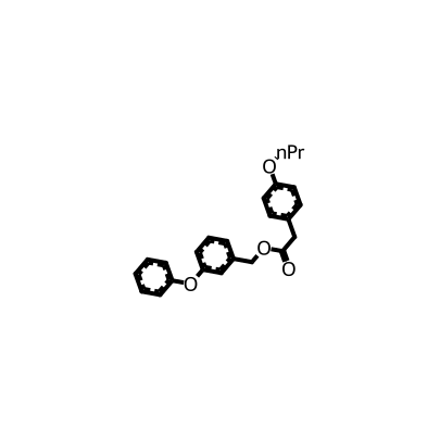 CCCOc1ccc(CC(=O)OCc2cccc(Oc3ccccc3)c2)cc1